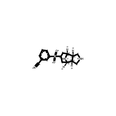 N#Cc1cccc(S(=O)(=O)C2C[C@@H]3N[C@H](C2)[C@@H]2CNC[C@@H]23)c1